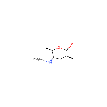 C[C@H]1C[C@@H](NC(=O)O)[C@@H](C)OC1=O